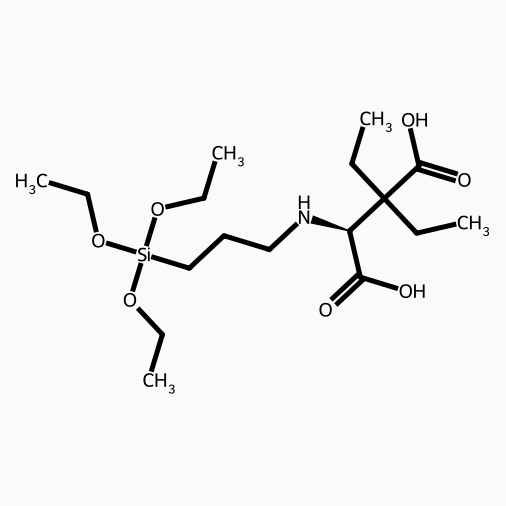 CCO[Si](CCCN[C@H](C(=O)O)C(CC)(CC)C(=O)O)(OCC)OCC